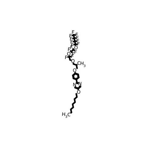 CCCCCCCCCOc1cnc(-c2ccc(OCC(C)COCC(F)(F)OC(F)(F)C(F)(F)OC(F)(F)C(F)(F)C(F)(F)C(F)(F)F)cc2)nc1